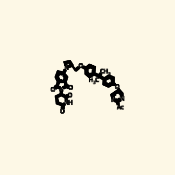 CC(=O)c1ncc(Oc2ccc(C(C)(C)c3ccc(OC[C@@H]4CCN4c4ccc5c(c4)C(=O)N(C4CCC(=O)NC4=O)C5=O)cc3)cc2)cn1